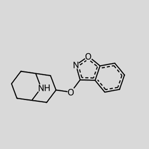 c1ccc2c(OC3CC4CCCC(C3)N4)noc2c1